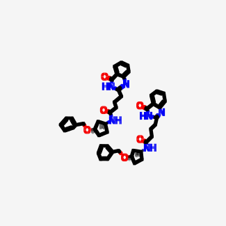 O=C(CCCc1nc2ccccc2c(=O)[nH]1)N[C@@H]1CC[C@@H](OCc2ccccc2)C1.O=C(CCCc1nc2ccccc2c(=O)[nH]1)N[C@H]1CC[C@H](OCc2ccccc2)C1